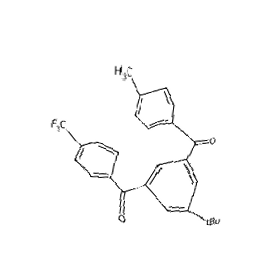 Cc1ccc(C(=O)c2cc(C(=O)c3ccc(C(F)(F)F)cc3)cc(C(C)(C)C)c2)cc1